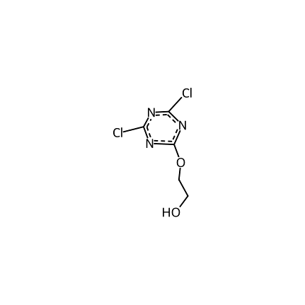 OCCOc1nc(Cl)nc(Cl)n1